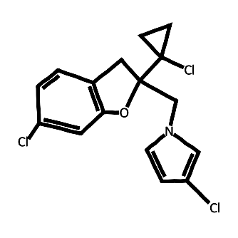 Clc1ccc2c(c1)OC(Cn1ccc(Cl)c1)(C1(Cl)CC1)C2